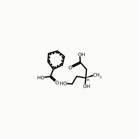 C[C@@](O)(CCO)CC(=O)O.O=C(O)c1ccccc1